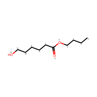 CCCCOC(=O)CCCCCO